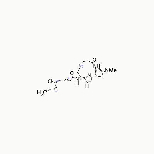 C=C/C=C\C(Cl)=C/C/C=C/C(=O)N[C@H]1C/C=C/CCC(=O)Nc2cc(NC)ccc2C2CNC1=N2